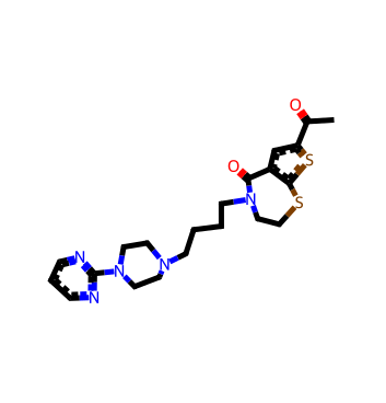 CC(=O)c1cc2c(s1)SCCN(CCCCN1CCN(c3ncccn3)CC1)C2=O